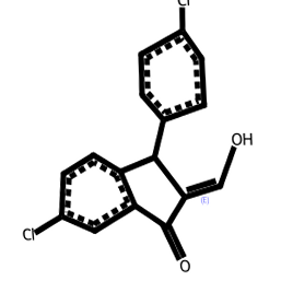 O=C1/C(=C/O)C(c2ccc(Cl)cc2)c2ccc(Cl)cc21